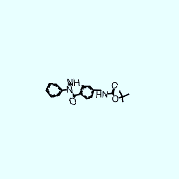 CC(C)(C)OC(=O)NCc1ccc(C(=O)N(N)c2ccccc2)cc1